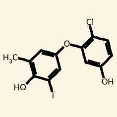 Cc1cc(Oc2cc(O)ccc2Cl)cc(I)c1O